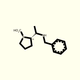 CC(NCc1ccccc1)[C@@H]1CCCN1C(=O)O